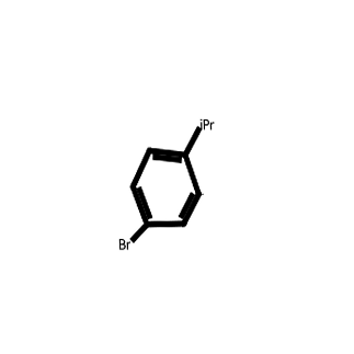 CC(C)c1[c]cc(Br)cc1